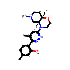 Cc1ccc(-c2nnc(N3CCO[C@@H]4CCN(C(C)C)C[C@@H]43)cc2C)c(O)c1